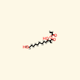 C=CC(=O)OC(=O)C(=C)C(O)CCCCCCCCCO